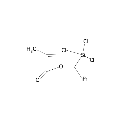 CC(C)C[Si](Cl)(Cl)Cl.CC1=COC1=O